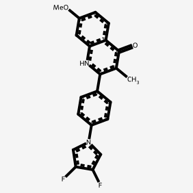 COc1ccc2c(=O)c(C)c(-c3ccc(-n4cc(F)c(F)c4)cc3)[nH]c2c1